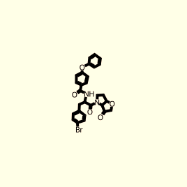 O=C(NC(Cc1ccc(Br)cc1)C(=O)N1CCC2OCC(=O)C21)c1ccc(Oc2ccccc2)cc1